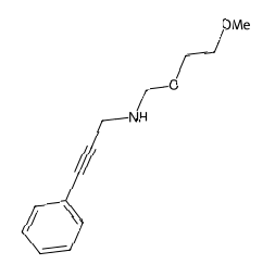 COCCOCNCC#Cc1ccccc1